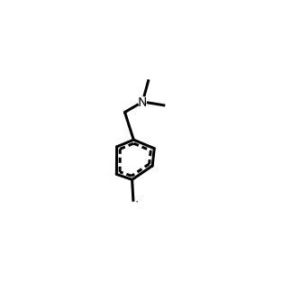 [CH2]c1ccc(CN(C)C)cc1